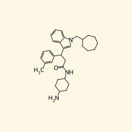 Cc1cccc(C(CC(=O)NC2CCC(N)CC2)c2cn(CC3CCCCCC3)c3ccccc23)c1